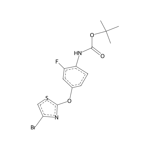 CC(C)(C)OC(=O)Nc1ccc(Oc2nc(Br)cs2)cc1F